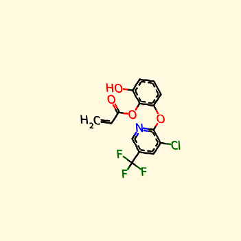 C=CC(=O)Oc1c(O)cccc1Oc1ncc(C(F)(F)F)cc1Cl